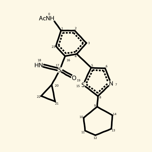 CC(=O)Nc1ccc(-c2cnc(C3CCCCC3)s2)c(S(=N)(=O)C2CC2)c1